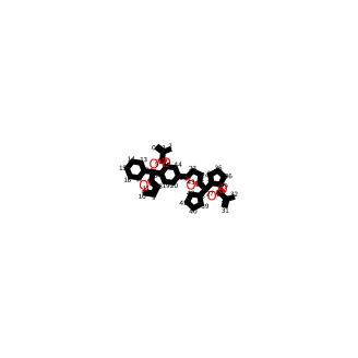 C=C(C)C(=O)OC(c1ccco1)(C1CCCCC1)C1CCC(C2CCC(C(OC(=O)C(=C)C)(C3CCCC3)C3CCCC3)O2)CC1